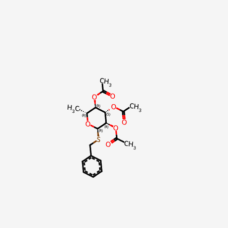 CC(=O)O[C@@H]1[C@@H](OC(C)=O)[C@@H](SCc2ccccc2)O[C@H](C)[C@H]1OC(C)=O